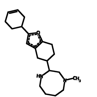 CN1CCCCNC(C2CCc3oc(C4CC=CCC4)cc3C2)C1